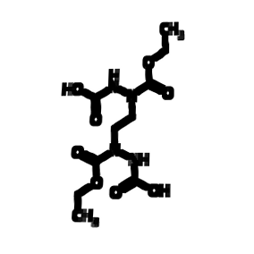 CCOC(=O)N(CCN(NC(=O)O)C(=O)OCC)NC(=O)O